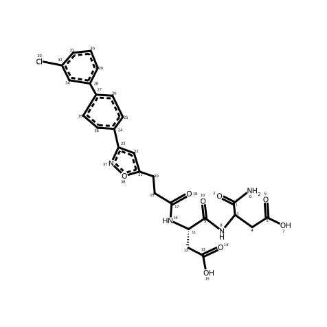 NC(=O)C(CC(=O)O)NC(=O)[C@H](CC(=O)O)NC(=O)CCc1cc(-c2ccc(-c3cccc(Cl)c3)cc2)no1